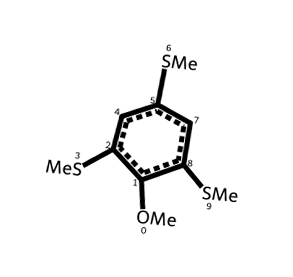 COc1c(SC)cc(SC)cc1SC